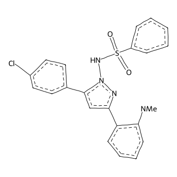 CNc1ccccc1-c1cc(-c2ccc(Cl)cc2)n(NS(=O)(=O)c2ccccc2)n1